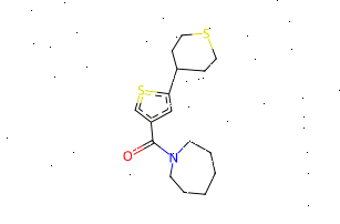 O=C(c1csc(C2CCSCC2)c1)N1CCCCCC1